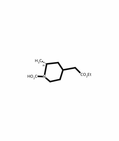 CCOC(=O)CC1CCN(C(=O)O)[C@H](C)C1